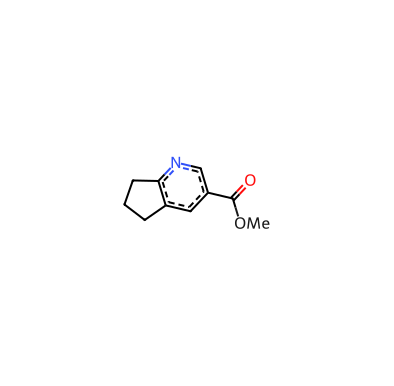 COC(=O)c1cnc2c(c1)CCC2